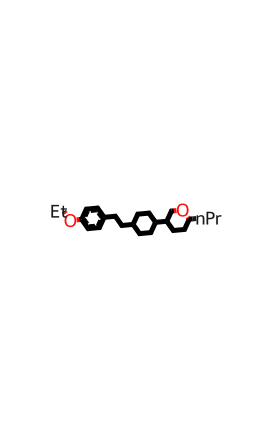 CCCC1CCC(C2CCC(CCc3ccc(OCC)cc3)CC2)CO1